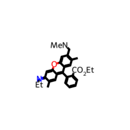 CC/N=c1/cc2oc3cc(CNC)c(C)cc3c(-c3ccccc3C(=O)OCC)c-2cc1C